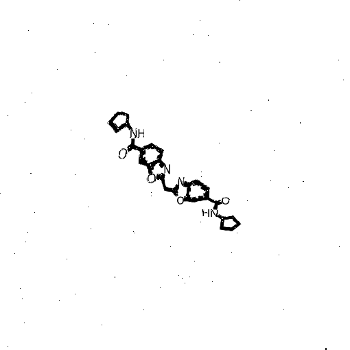 O=C(NC1CCCC1)c1ccc2nc(Cc3nc4ccc(C(=O)NC5CCCC5)cc4o3)oc2c1